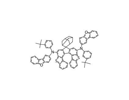 CC(C)(C)c1cccc(N(c2ccc3oc4ccccc4c3c2)c2cc3c(c4c2sc2ccccc24)-c2c(cc(N(c4cccc(C(C)(C)C)c4)c4ccc5oc6ccccc6c5c4)c4sc5ccccc5c24)C32C3CC4CC(C3)CC2C4)c1